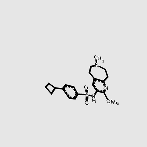 COc1nc2c(cc1NS(=O)(=O)c1ccc(C3CCC3)cc1)CCN(C)CC2